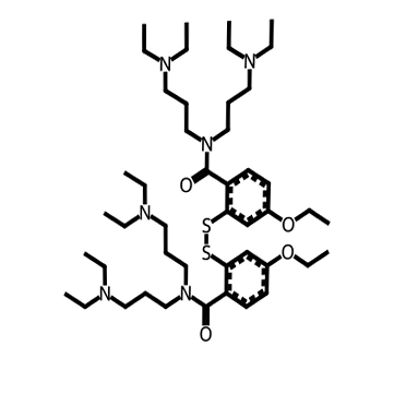 CCOc1ccc(C(=O)N(CCCN(CC)CC)CCCN(CC)CC)c(SSc2cc(OCC)ccc2C(=O)N(CCCN(CC)CC)CCCN(CC)CC)c1